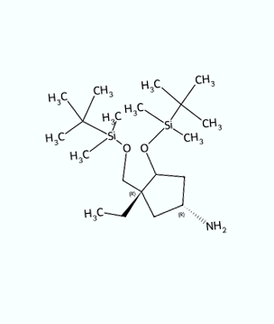 CC[C@]1(CO[Si](C)(C)C(C)(C)C)C[C@@H](N)CC1O[Si](C)(C)C(C)(C)C